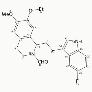 CCOc1cc2c(cc1OC)CCN(C=O)C2CCc1c[nH]c2ccc(F)cc12